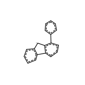 [CH]1c2ccccc2-c2cccc(-c3ccccc3)c21